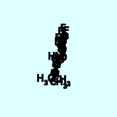 CC(C)(C)c1ccc(-c2ccc(S(=O)(=O)NC(=O)c3ccc4c(ccn4Cc4ccc(C(F)(F)F)cc4C(F)(F)F)c3)cc2)cc1